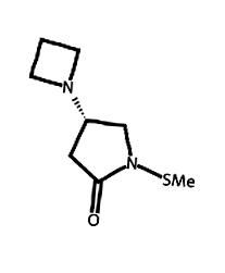 CSN1C[C@@H](N2CCC2)CC1=O